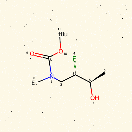 CCN(C[C@H](F)[C@@H](C)O)C(=O)OC(C)(C)C